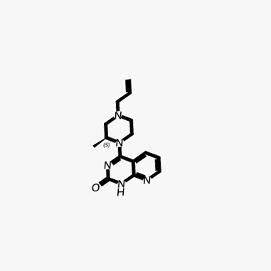 C=CCN1CCN(c2nc(=O)[nH]c3ncccc23)[C@@H](C)C1